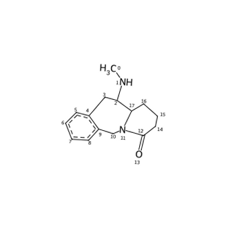 CNC1Cc2ccccc2CN2C(=O)CCCC12